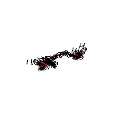 C=CC(=O)N1CCN(c2nc(O[C@H](C)CN3CCC(OCCOCCOCCOCCNc4cccc5c4C(=O)N(C4CCC(=O)NC4=O)C5=O)CC3)nc3c(F)c(-c4cc(O)cc5ccccc45)c(Cl)cc23)CC1